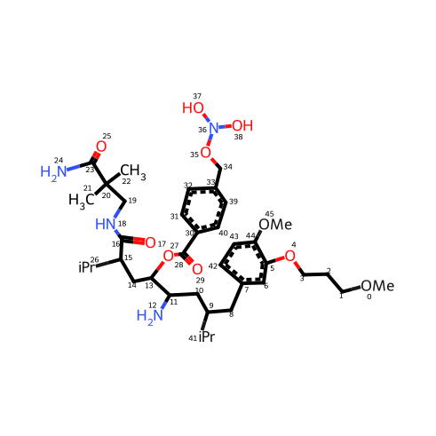 COCCCOc1cc(CC(CC(N)C(CC(C(=O)NCC(C)(C)C(N)=O)C(C)C)OC(=O)c2ccc(CON(O)O)cc2)C(C)C)ccc1OC